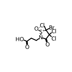 O=C(O)CCN1C(=O)C(Cl)(Cl)C(Cl)(Br)[S+]1[O-]